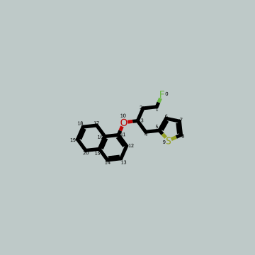 FCCC(Cc1cccs1)Oc1cccc2c1CC=CC2